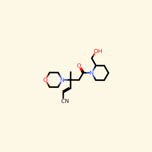 CC(C=CC#N)(CC(=O)N1CCCCC1CO)N1CCOCC1